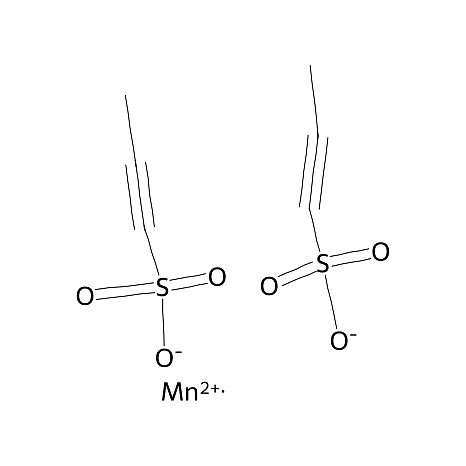 CC#CS(=O)(=O)[O-].CC#CS(=O)(=O)[O-].[Mn+2]